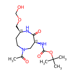 CC(=O)N1CC[C@@H](COCO)NC(=O)[C@@H](NC(=O)OC(C)(C)C)C1